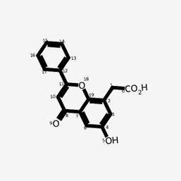 O=C(O)Cc1cc(O)cc2c(=O)cc(-c3ccccc3)oc12